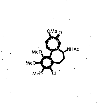 COc1c(Cl)c2c(c(OC)c1OC)-c1ccc(OC)c(=O)cc1[C@@H](NC(C)=O)CC2